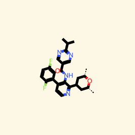 CC(C)c1ncc(C(=O)Nc2c(-c3cc(F)ccc3F)ccnc2C2C[C@@H](C)O[C@@H](C)C2)cn1